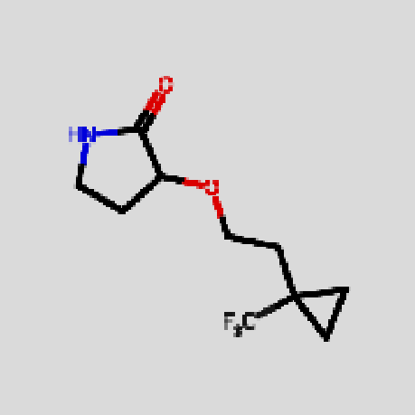 O=C1NCCC1OCCC1(C(F)(F)F)CC1